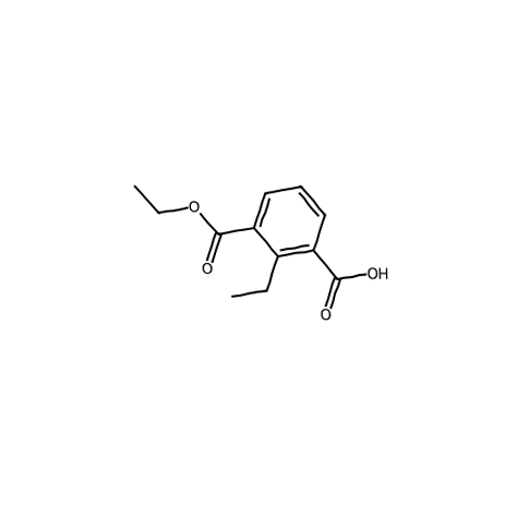 CCOC(=O)c1cccc(C(=O)O)c1CC